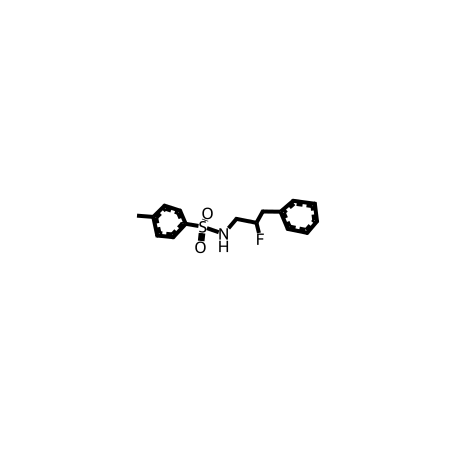 Cc1ccc(S(=O)(=O)NCC(F)Cc2ccccc2)cc1